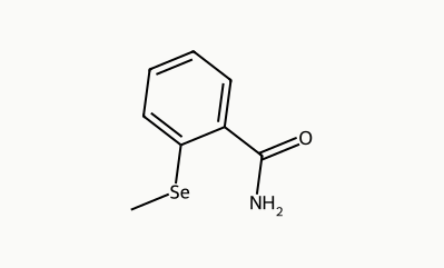 C[Se]c1ccccc1C(N)=O